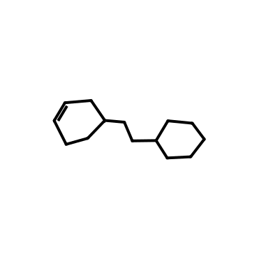 C1=CC[C](CCC2CCCCC2)CC1